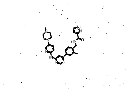 Cc1cc(-c2cc(Nc3ccc(N4CCN(C)CC4)cn3)ncn2)ccc1CNC(=O)c1cc[nH]n1